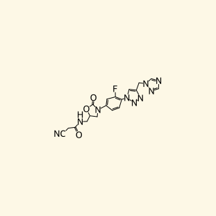 N#CCC(=O)NCC1CN(c2ccc(-n3cc(Cn4cncn4)nn3)c(F)c2)C(=O)O1